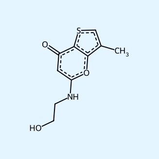 Cc1csc2c(=O)cc(NCCO)oc12